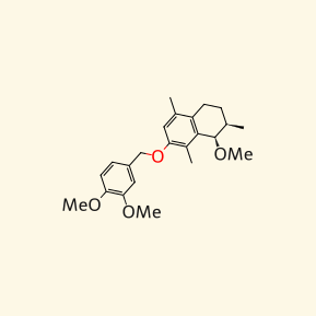 COc1ccc(COc2cc(C)c3c(c2C)[C@H](OC)[C@H](C)CC3)cc1OC